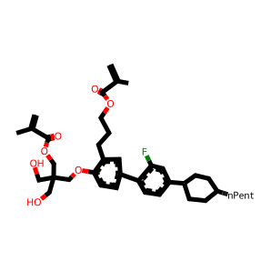 C=C(C)C(=O)OCCCc1cc(-c2ccc(C3CCC(CCCCC)CC3)cc2F)ccc1OCC(CO)(CO)COC(=O)C(=C)C